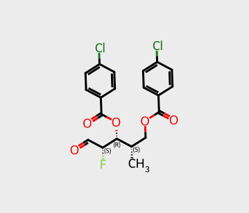 C[C@@H](COC(=O)c1ccc(Cl)cc1)[C@@H](OC(=O)c1ccc(Cl)cc1)[C@H](F)C=O